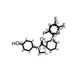 O=C1N(C2CCC(O)CC2)CC[C@]12CCCN(c1nc(F)c(F)cc1F)C2